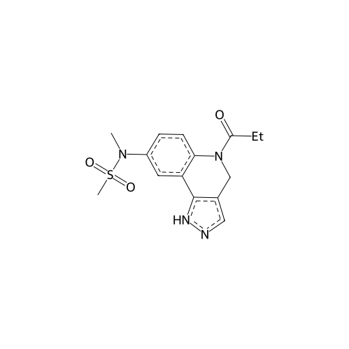 CCC(=O)N1Cc2cn[nH]c2-c2cc(N(C)S(C)(=O)=O)ccc21